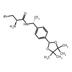 CC(C)C[C@H](N)C(=O)N[C@@H](c1ccc(B2OC(C)(C)C(C)(C)O2)cc1)C(F)(F)F